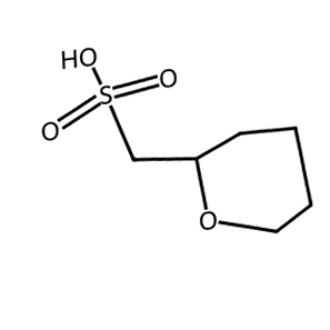 O=S(=O)(O)CC1CCCCO1